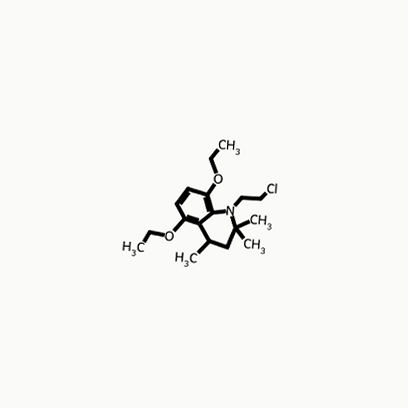 CCOc1ccc(OCC)c2c1C(C)CC(C)(C)N2CCCl